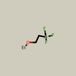 CCOCC[B-](F)(F)F